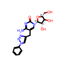 Nc1nc(=O)n([C@@H]2O[C@H](CO)C(O)[C@@H]2O)cc1Cc1cn(-c2ccccc2)nn1